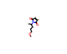 COCCCC(C)N1C(=O)C=CC1=O